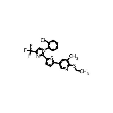 CCSc1ncc(-c2ccc(-c3nc(C(F)(F)F)cn3-c3ccccc3Cl)s2)cc1C